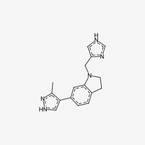 Cc1n[nH]cc1-c1ccc2c(c1)N(Cc1c[nH]cn1)CC2